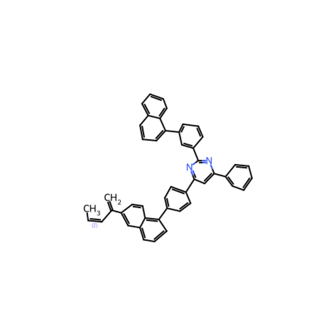 C=C(/C=C\C)c1ccc2c(-c3ccc(-c4cc(-c5ccccc5)nc(-c5cccc(-c6cccc7ccccc67)c5)n4)cc3)cccc2c1